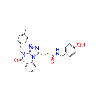 Cc1ccc(Cn2c(=O)c3ccccc3n3c(CCC(=O)NCc4ccc(O)cc4)nnc23)cc1